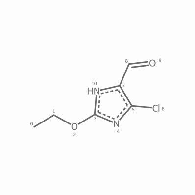 CCOc1nc(Cl)c(C=O)[nH]1